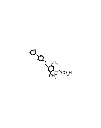 Cc1cc(SCc2ccc(-n3cccn3)cc2)c(C)cc1OCC(=O)O